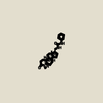 CN1C(=O)CC[C@]2(C)[C@H]3CC[C@]4(C)[C@@H](CNC(=O)Nc5ccccc5)CC[C@H]4[C@@H]3CC[C@@H]12